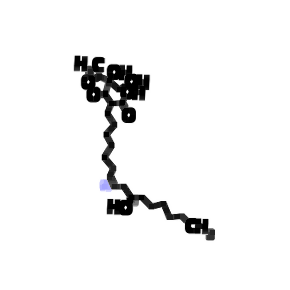 CCCCCC[C@@H](O)C/C=C\CCCCCCC(C(=O)O)C(=O)C(O)(CO)C(C)=O